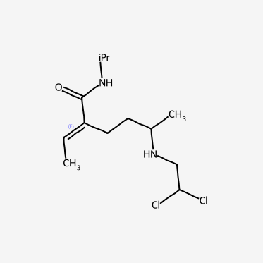 C/C=C(\CCC(C)NCC(Cl)Cl)C(=O)NC(C)C